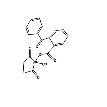 O=C(O[N+]1(O)C(=O)CCC1=O)c1ccccc1C(=O)c1ccccc1